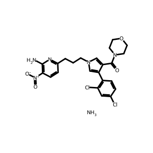 N.Nc1nc(CCCn2cc(C(=O)N3CCOCC3)c(-c3ccc(Cl)cc3Cl)c2)ccc1[N+](=O)[O-]